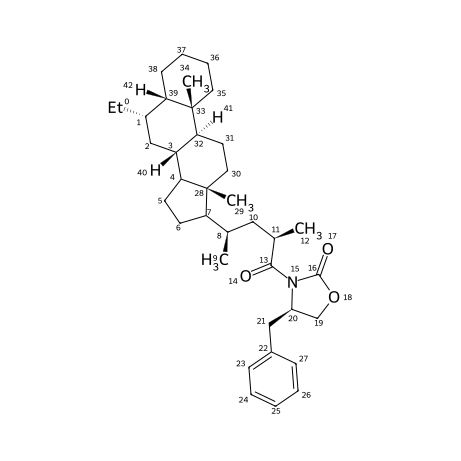 CC[C@H]1C[C@H]2C3CCC([C@H](C)C[C@@H](C)C(=O)N4C(=O)OC[C@H]4Cc4ccccc4)[C@@]3(C)CC[C@@H]2[C@@]2(C)CCCC[C@@H]12